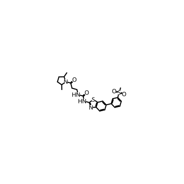 CC1CCC(C)N1C(=O)CCNC(=O)Nc1nc2ccc(-c3cccc(S(C)(=O)=O)c3)cc2s1